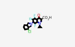 O=C(O)c1cn(C2CC2)c2c(F)c(N3Cc4cccc(Cl)c4C3)c(F)c(F)c2c1=O